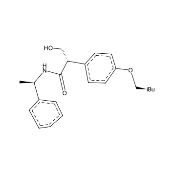 CC[C@H](C)COc1ccc([C@@H](CO)C(=O)N[C@H](C)c2ccccc2)cc1